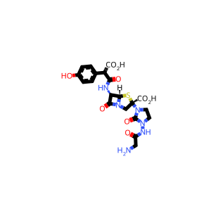 NCC(=O)NN1CCN([C@]2(C(=O)O)CN3C(=O)[C@@H](NC(=O)C(C(=O)O)c4ccc(O)cc4)[C@H]3S2)C1=O